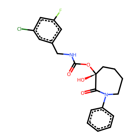 O=C(NCc1cc(F)cc(Cl)c1)O[C@]1(O)CCCCN(c2ccccc2)C1=O